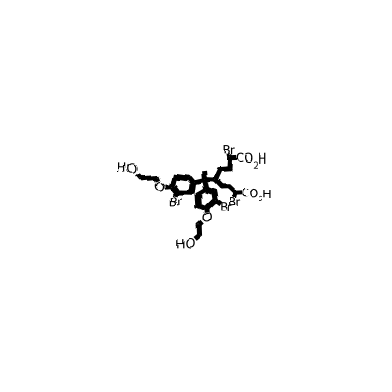 CC(c1ccc(OCCO)c(Br)c1)(c1ccc(OCCO)c(Br)c1)C(CCC(Br)C(=O)O)CCC(Br)C(=O)O